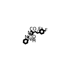 CCOC(=O)c1nn(-c2nc3ccccc3[nH]2)c(O)c1CCc1ccc(F)cc1